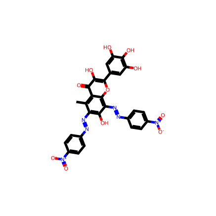 Cc1c(N=Nc2ccc([N+](=O)[O-])cc2)c(O)c(N=Nc2ccc([N+](=O)[O-])cc2)c2oc(-c3cc(O)c(O)c(O)c3)c(O)c(=O)c12